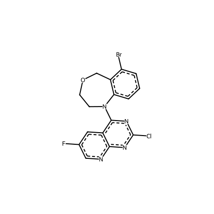 Fc1cnc2nc(Cl)nc(N3CCOCc4c(Br)cccc43)c2c1